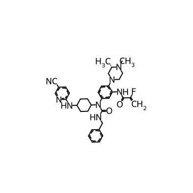 C=C(F)C(=O)Nc1cc(N(C(=O)NCc2ccccc2)C2CCC(Nc3ccc(C#N)cn3)CC2)ccc1N1CCN(C)[C@@H](C)C1